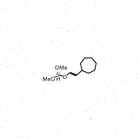 CO[SiH](OC)OC=CC1CCCCCC1